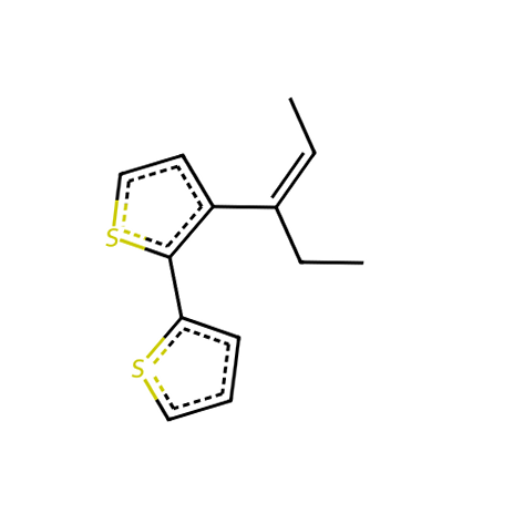 C/C=C(/CC)c1ccsc1-c1cccs1